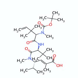 C=CC(C)(C)C(C(=O)N[C@H](C(=O)N(C)[C@H](C=C(C)C(=O)O)C(C)C)C(C)(C)C)N(C)C(=O)OC(C)(C)C